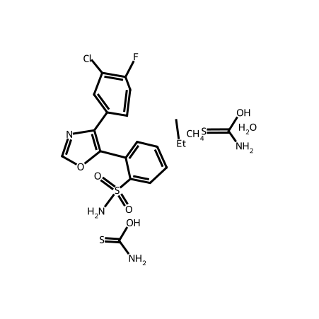 C.CCC.NC(O)=S.NC(O)=S.NS(=O)(=O)c1ccccc1-c1ocnc1-c1ccc(F)c(Cl)c1.O